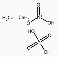 O=S(=O)(O)O.O=[N+]([O-])O.[CaH2].[CaH2]